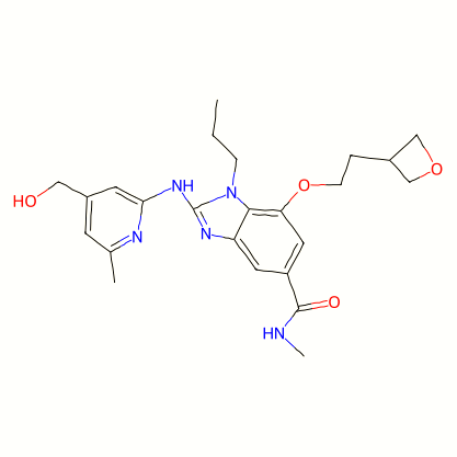 CCCn1c(Nc2cc(CO)cc(C)n2)nc2cc(C(=O)NC)cc(OCCC3COC3)c21